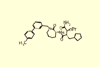 CCC[C@H](C(N)=O)[C@@H](CC1CCCC1)C(=O)N[C@H]1CCCCN(Cc2cccc(-c3ccc(C)cc3)c2)C1=O